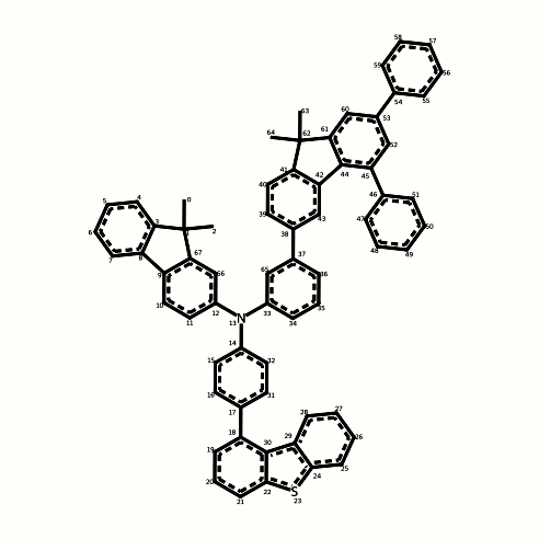 CC1(C)c2ccccc2-c2ccc(N(c3ccc(-c4cccc5sc6ccccc6c45)cc3)c3cccc(-c4ccc5c(c4)-c4c(-c6ccccc6)cc(-c6ccccc6)cc4C5(C)C)c3)cc21